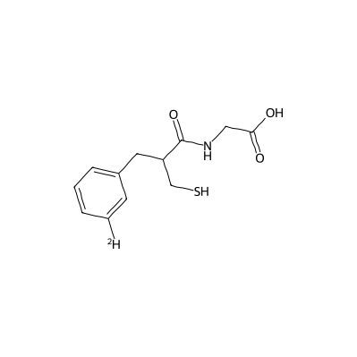 [2H]c1cccc(CC(CS)C(=O)NCC(=O)O)c1